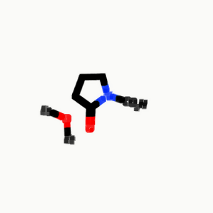 CCOCC.O=C(O)N1CCCC1=O